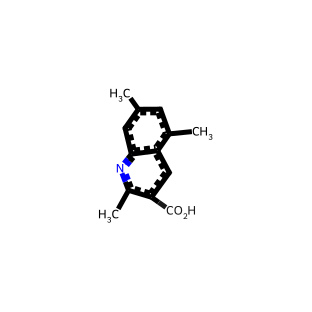 Cc1cc(C)c2cc(C(=O)O)c(C)nc2c1